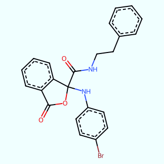 O=C1OC(Nc2ccc(Br)cc2)(C(=O)NCCc2ccccc2)c2ccccc21